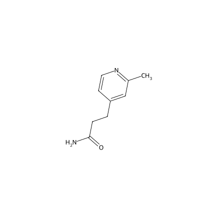 Cc1cc(CCC(N)=O)ccn1